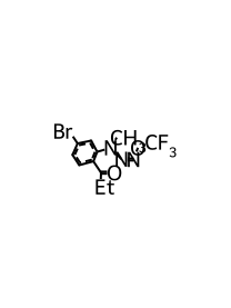 CCC(=O)c1ccc(Br)cc1N(C)/N=N\OC(F)(F)F